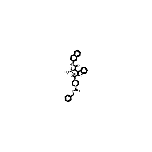 CP(=O)(O)C(C(=O)Nc1ccc2ccccc2c1)c1c(C(=O)N2CCN(C(=O)OCc3ccccc3)CC2)sc2ccccc12